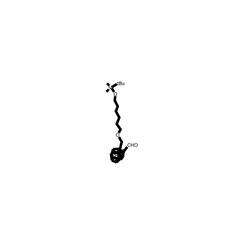 CC(C)(C)[Si](C)(C)OCCCCCCOC[C]12[CH]3[CH]4[CH]5[CH]1[Fe]45321678[CH]2[CH]1[CH]6[C]7(C=O)[CH]28